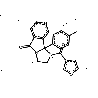 Cc1ccc(C23c4cnccc4C(=O)N2CCN3C(=O)c2ccoc2)cc1